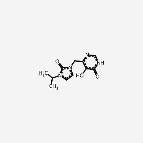 CC(C)n1ccn(Cc2nc[nH]c(=O)c2O)c1=O